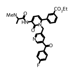 CCOC(=O)c1cccc(-c2ccc(NC(=O)C(C)NC)c(=O)n2Cc2cncc(C(=O)c3ccc(F)cc3)c2)c1